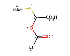 CCCCSC(OC(=O)CC)C(=O)O